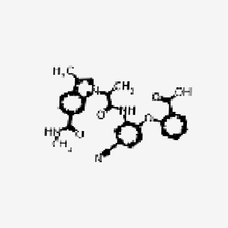 CNC(=O)c1ccc2c(C)cn(C(C)C(=O)Nc3cc(C#N)ccc3Oc3ccccc3C(=O)O)c2c1